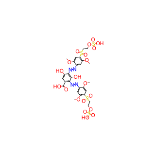 COc1cc(S(=O)(=O)CCOS(=O)(=O)O)c(OC)cc1N=Nc1c(O)cc(C(=O)O)c(N=Nc2cc(OC)c(S(=O)(=O)CCOS(=O)(=O)O)cc2OC)c1O